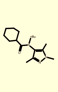 CCCCN(C(=O)C1CCCCC1)c1c(C)nn(C)c1C